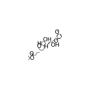 COc1cccc(OC[C@H](O)C=C[C@@H]2[C@H]3CC[C@H](CCCC(=O)OC(C)C)CO[C@H]3C[C@H]2O)c1